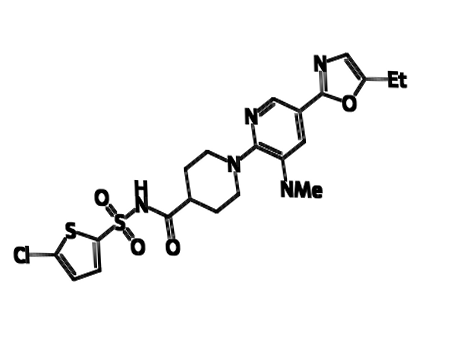 CCc1cnc(-c2cnc(N3CCC(C(=O)NS(=O)(=O)c4ccc(Cl)s4)CC3)c(NC)c2)o1